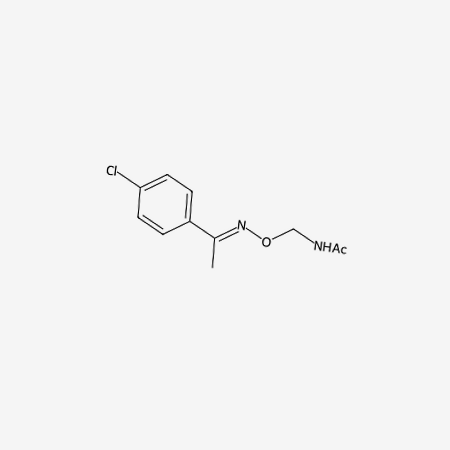 CC(=O)NCON=C(C)c1ccc(Cl)cc1